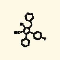 CC(C)c1c(C=O)c(-c2ccccc2)c(-c2ccc(F)cc2)n1Cc1ccccc1